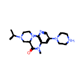 CC(C)N1CCN2c3ncc(N4CCNCC4)cc3N(C)C(=O)C2C1